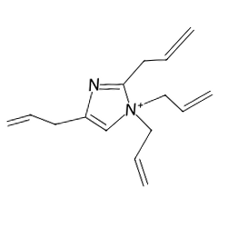 C=CCC1=C[N+](CC=C)(CC=C)C(CC=C)=N1